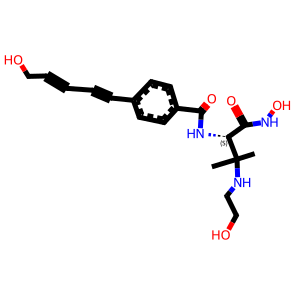 CC(C)(NCCO)[C@H](NC(=O)c1ccc(C#CC#CCO)cc1)C(=O)NO